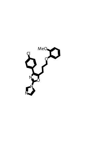 COc1ccccc1OCCCc1oc(-n2ccnc2)nc1-c1ccc(Cl)cc1